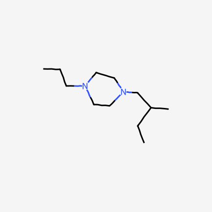 CCCN1CCN(CC(C)CC)CC1